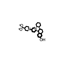 COC(OC)C1CCN(c2ccc([C@@H]3c4ccc(O)cc4CC[C@@H]3C3CCCCC3)nc2)CC1